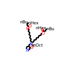 CCCCCCCC[S+]([O-])N(CC1CCN(C)CC1)C(CCCCCCCCOC(=O)CC(CCCC)CCCCCC)CCCCCCCCOC(=O)CC(CCCC)CCCCCC